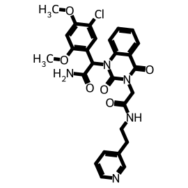 COc1cc(OC)c(C(C(N)=O)n2c(=O)n(CC(=O)NCCc3cccnc3)c(=O)c3ccccc32)cc1Cl